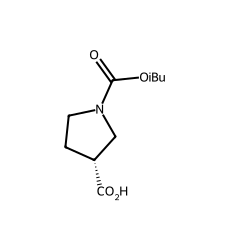 CC(C)COC(=O)N1CC[C@@H](C(=O)O)C1